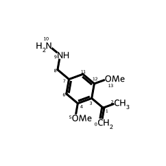 C=C(C)c1c(OC)cc(CNN)cc1OC